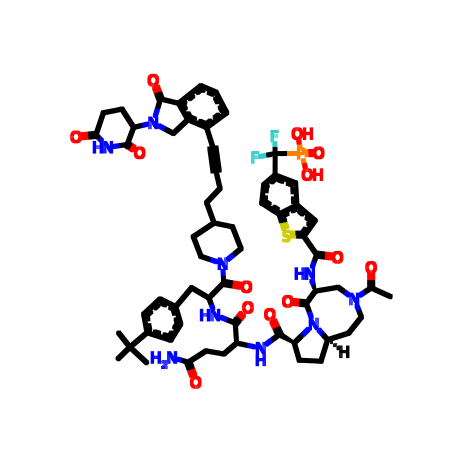 CC(=O)N1CC[C@H]2CC[C@@H](C(=O)NC(CCC(N)=O)C(=O)NC(Cc3ccc(C(C)(C)C)cc3)C(=O)N3CCC(CCC#Cc4cccc5c4CN(C4CCC(=O)NC4=O)C5=O)CC3)N2C(=O)[C@@H](NC(=O)c2cc3cc(C(F)(F)P(=O)(O)O)ccc3s2)C1